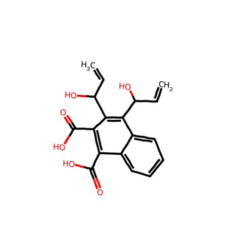 C=CC(O)c1c(C(=O)O)c(C(=O)O)c2ccccc2c1C(O)C=C